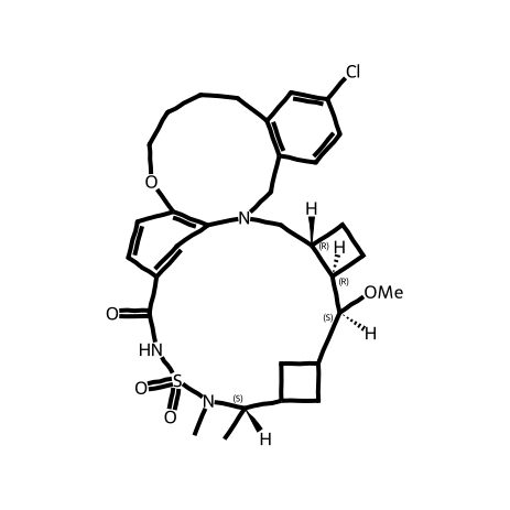 CO[C@H]1C2CC(C2)[C@H](C)N(C)S(=O)(=O)NC(=O)c2ccc3c(c2)N(Cc2ccc(Cl)cc2CCCCO3)C[C@@H]2CC[C@H]21